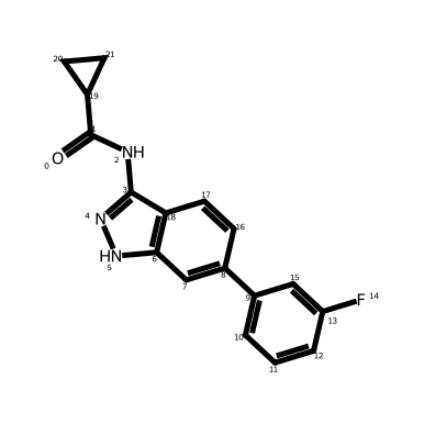 O=C(Nc1n[nH]c2cc(-c3cccc(F)c3)ccc12)C1CC1